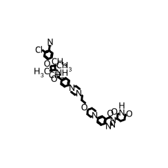 CC1(C)C(NC(=O)c2ccc(N3CCN(CCCOC4CCN(c5ccc6nnn(C7CCC(=O)NC7=O)c(=O)c6c5)CC4)CC3)cc2)C(C)(C)C1Oc1ccc(C#N)c(Cl)c1